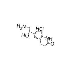 Cl.NCC(O)c1ccc2c(c1)CCC(=O)N2